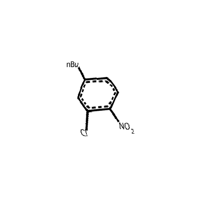 CCCCc1ccc([N+](=O)[O-])c(Cl)c1